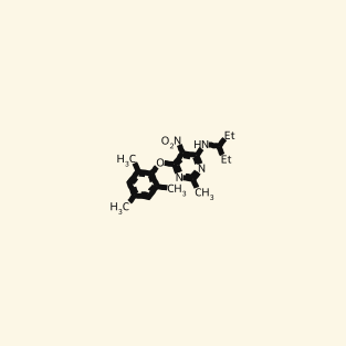 CCC(CC)Nc1nc(C)nc(Oc2c(C)cc(C)cc2C)c1[N+](=O)[O-]